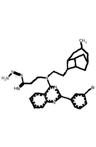 CC1CC2CC3C(CCN(CCC(=N)/N=N\N)c4nc(-c5cccc(Br)c5)nc5ccccc45)C(C1)C3C2